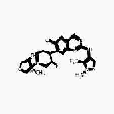 Cn1ncc(Nc2ncc3cc(Cl)c(C4CCN([C@]5(C)COCC5O)CC4F)cc3n2)c1C(F)(F)F